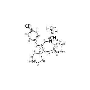 CN1C[C@H](Cc2ccc(Cl)cc2)N(C2CCNCC2)Cc2ccccc21.Cl.Cl